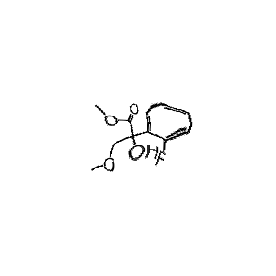 COCC(O)(C(=O)OC)c1ccccc1F